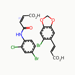 O=C(O)/C=C\C(=O)Nc1ccc(Br)cc1Cl.O=C(O)C=Cc1cc2c(cc1Br)OCO2